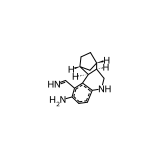 N=Cc1c(N)ccc2c1[C@H]1[C@@H]3CC[C@@H](C3)[C@H]1CN2